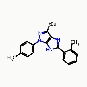 Cc1ccc(-n2nc(C(C)(C)C)c3nc(-c4ccccc4C)[nH]c32)cc1